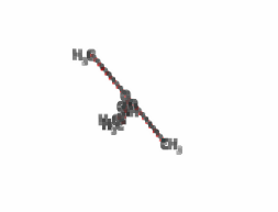 CCCCCC=CCC=CCCCCCCCCOCC(COCCCCCCCCC=CCC=CCCCCC)COC(=O)NCCN(CC)CC